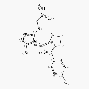 O=C(O)CSc1nnc(Br)n1-c1sc(-c2ccc(Cl)cc2)c2c1CCC2